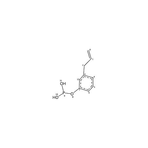 C=CCc1cccc(OP(O)O)c1